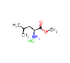 COC(=O)[C@@H](N)CC(C)C.Cl